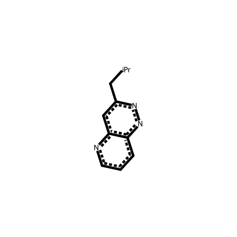 CC(C)Cc1cc2ncccc2nn1